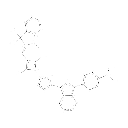 CN(C)c1ccc(-c2sc(-c3ccc(C4=C(O)C(C=C5N(C)c6ccccc6C5(C)C)=C4O)s3)c3ccccc23)cc1